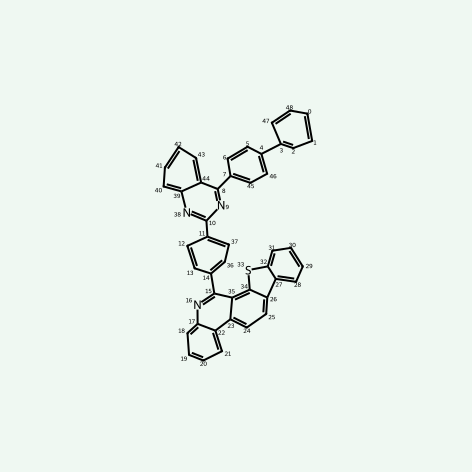 c1ccc(-c2ccc(-c3nc(-c4ccc(-c5nc6ccccc6c6ccc7c8ccccc8sc7c56)cc4)nc4ccccc34)cc2)cc1